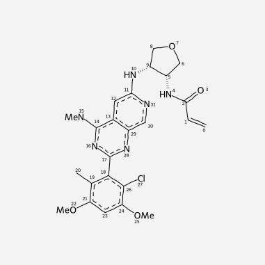 C=CC(=O)N[C@H]1COC[C@H]1Nc1cc2c(NC)nc(-c3c(C)c(OC)cc(OC)c3Cl)nc2cn1